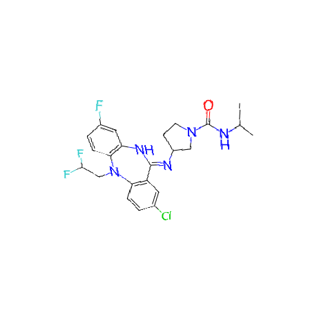 CC(C)NC(=O)N1CCC(N=C2Nc3cc(F)ccc3N(CC(F)F)c3ccc(Cl)cc32)C1